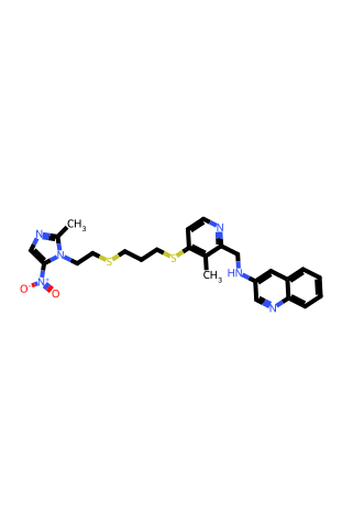 Cc1c(SCCCSCCn2c([N+](=O)[O-])cnc2C)ccnc1CNc1cnc2ccccc2c1